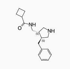 O=C(NC[C@@H]1CNC[C@H]1Cc1ccccc1)C1CCC1